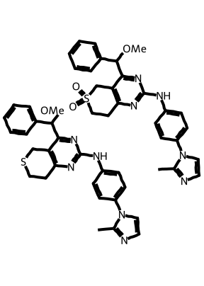 COC(c1ccccc1)c1nc(Nc2ccc(-n3ccnc3C)cc2)nc2c1CS(=O)(=O)CC2.COC(c1ccccc1)c1nc(Nc2ccc(-n3ccnc3C)cc2)nc2c1CSCC2